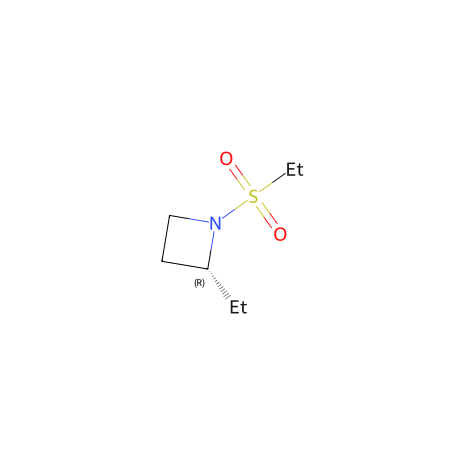 CC[C@@H]1CCN1S(=O)(=O)CC